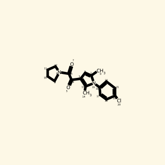 Cc1cc(C(=O)C(=O)N2CCCC2)c(C)n1-c1ccc(Cl)cc1